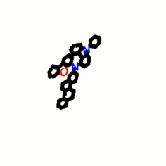 c1ccc(-n2c3ccccc3c3c(N(c4ccc5c(ccc6c7ccccc7ccc56)c4)c4cccc5c4oc4ccccc45)cccc32)cc1